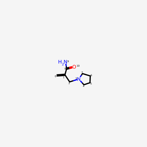 C=C(CN1CCCC1)C(N)=O